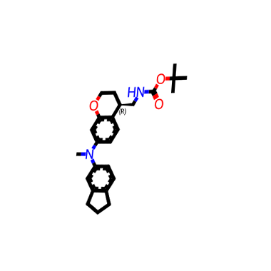 CN(c1ccc2c(c1)CCC2)c1ccc2c(c1)OCC[C@H]2CNC(=O)OC(C)(C)C